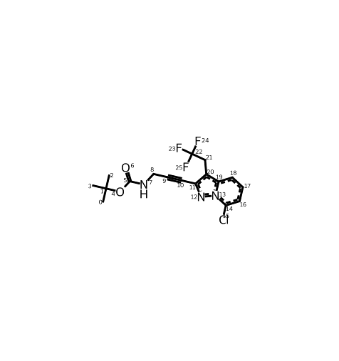 CC(C)(C)OC(=O)NCC#Cc1nn2c(Cl)cccc2c1CC(F)(F)F